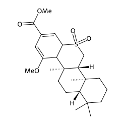 COC(=O)C1=CC2C(C(OC)=C1)[C@]1(C)CC[C@H]3C(C)(C)CCC[C@]3(C)[C@H]1CS2(=O)=O